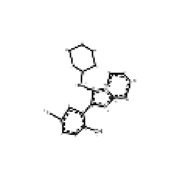 Oc1ccc(F)cc1-c1nc2cnccn2c1NC1CCCCC1